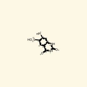 CCCc1cc2[nH]c(=O)[nH]c(=O)c2cc1S(=O)(=O)O